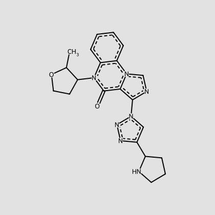 CC1OCCC1n1c(=O)c2c(-n3cc(C4CCCN4)nn3)ncn2c2ccccc21